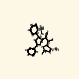 CN1C[C@@H](F)[C@H](N(C)C(=O)N2CC(c3ccccc3)=C[C@@]2(CO)c2ccccc2)C1